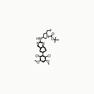 COc1cc(OC)c(Cl)c(-c2ccc3nc(NC4CC(CF)N(C(=O)OC(C)(C)C)C4)ncc3c2)c1Cl